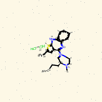 COCC[C@H]1CN(C2=Nc3ccccc3Nc3sc(C(C)C)cc32)CCN1C.Cl.Cl